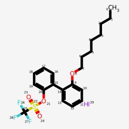 CCCCCCCCOc1ccccc1-c1ccccc1OS(=O)(=O)C(F)(F)F.I